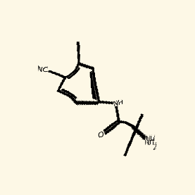 Cc1cc(NC(=O)C(C)(C)N)ccc1C#N